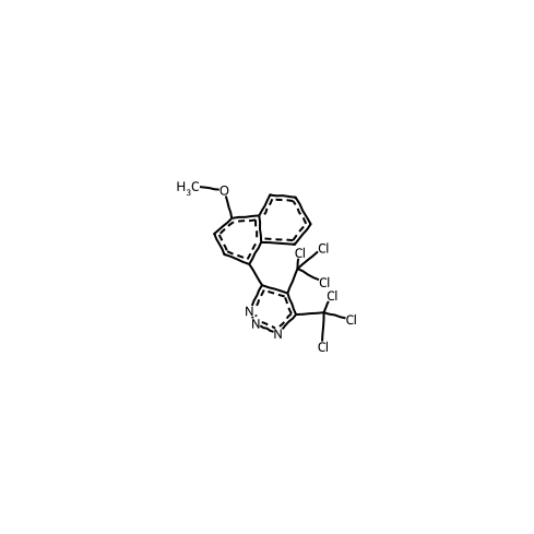 COc1ccc(-c2nnnc(C(Cl)(Cl)Cl)c2C(Cl)(Cl)Cl)c2ccccc12